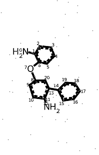 Nc1ccccc1Oc1ccc(N)c(-c2ccccc2)c1